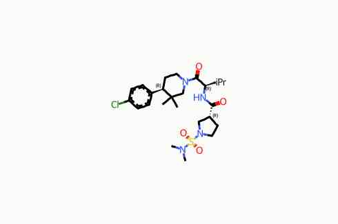 CC(C)[C@@H](NC(=O)[C@@H]1CCN(S(=O)(=O)N(C)C)C1)C(=O)N1CC[C@H](c2ccc(Cl)cc2)C(C)(C)C1